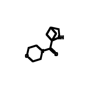 O=C(N1CCOCC1)C12CC(CN1)C2